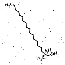 CCCCCCCCCCCCCCCCC[N+](C)(C)C[SiH3]